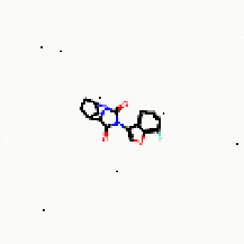 O=C1C2C3CCC(C3)N2C(=O)N1c1coc2c(F)cccc12